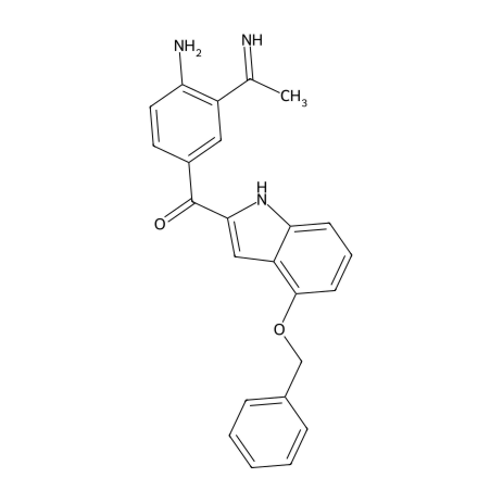 CC(=N)c1cc(C(=O)c2cc3c(OCc4ccccc4)cccc3[nH]2)ccc1N